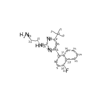 CC(C)(C)c1cc(-c2ccc(F)c3ccccc23)nc(NCCN)n1